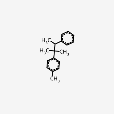 Cc1ccc(C(C)(C)C(C)c2ccccc2)cc1